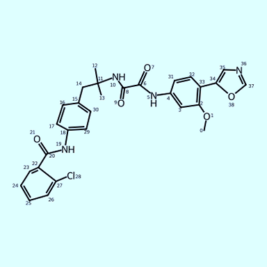 COc1cc(NC(=O)C(=O)NC(C)(C)Cc2ccc(NC(=O)c3ccccc3Cl)cc2)ccc1-c1cnco1